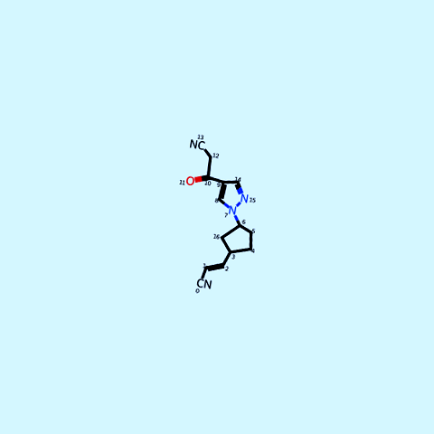 N#CC=CC1CCC(n2cc(C(=O)CC#N)cn2)C1